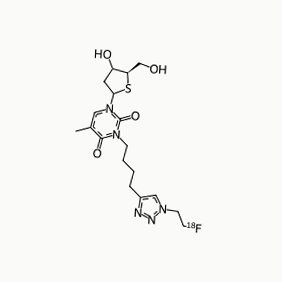 Cc1cn(C2CC(O)[C@@H](CO)S2)c(=O)n(CCCCc2cn(CC[18F])nn2)c1=O